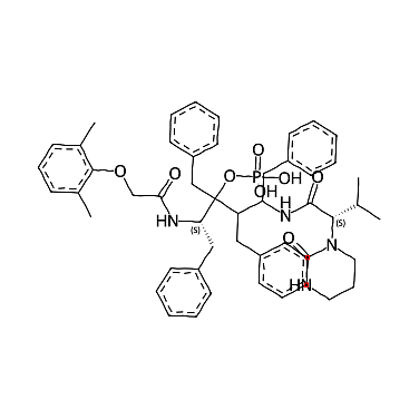 Cc1cccc(C)c1OCC(=O)N[C@@H](Cc1ccccc1)C(Cc1ccccc1)(OP(=O)(O)O)C(Cc1ccccc1)C(Cc1ccccc1)NC(=O)[C@H](C(C)C)N1CCCNC1=O